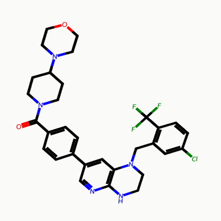 O=C(c1ccc(-c2cnc3c(c2)N(Cc2cc(Cl)ccc2C(F)(F)F)CCN3)cc1)N1CCC(N2CCOCC2)CC1